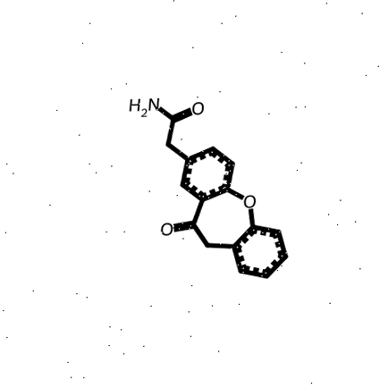 NC(=O)Cc1ccc2c(c1)C(=O)Cc1ccccc1O2